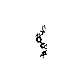 CC(F)(F)Cn1nnc2ccc(-c3ccc(OC4CC(F)(F)C4)nc3)cc21